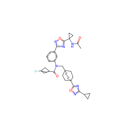 CC(=O)NC1(c2nc(-c3cccc(N(CC45CCC(c6nc(C7CC7)no6)(CC4)CC5)C(=O)C45CC(F)(C4)C5)c3)no2)CC1